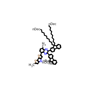 CCCCCCCCCCCCCCCCCCCCC1(CCCCCCCCCCCCCCCCCCCC)c2ccccc2-c2ccc(-c3nc4c(C)ccc(-c5cc6c(s5)c5sc(C)cc5n6CCCCCCCC)c4nc3-c3ccc4c(c3)C(CCCC)(CCCC)c3ccccc3-4)cc21